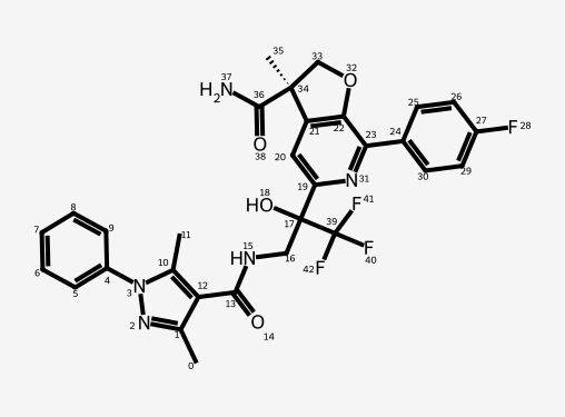 Cc1nn(-c2ccccc2)c(C)c1C(=O)NCC(O)(c1cc2c(c(-c3ccc(F)cc3)n1)OC[C@]2(C)C(N)=O)C(F)(F)F